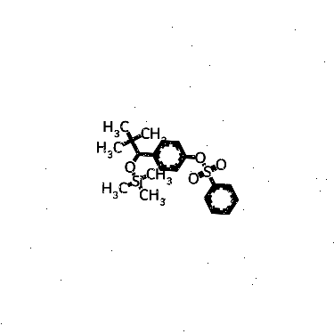 CC(C)(C)C(O[Si](C)(C)C)c1ccc(OS(=O)(=O)c2ccccc2)cc1